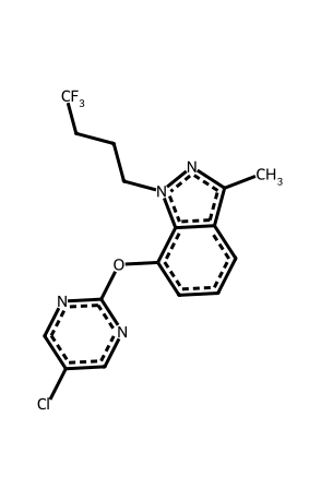 Cc1nn(CCCC(F)(F)F)c2c(Oc3ncc(Cl)cn3)cccc12